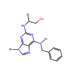 CCC(CO)Nc1nc(N(CC)Cc2ccccc2)c2ncn(C(C)C)c2n1